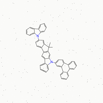 CC1(C)c2cc(-n3c4ccccc4c4ccccc43)ccc2-c2cc3c4ccccc4n(-c4ccc5c6ccccc6c6ccccc6c5c4)c3cc21